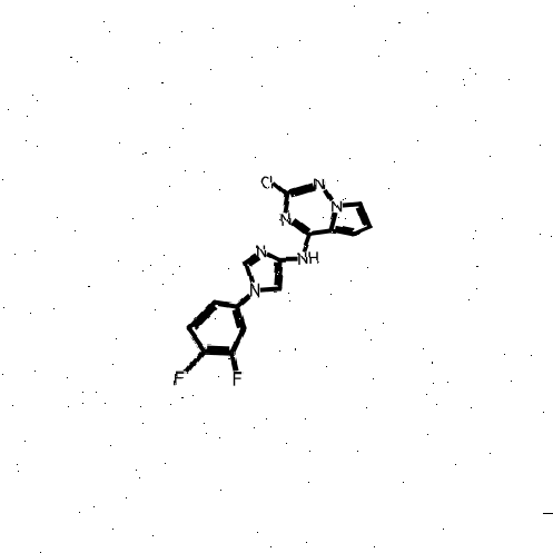 Fc1ccc(-n2cnc(Nc3nc(Cl)nn4cccc34)c2)cc1F